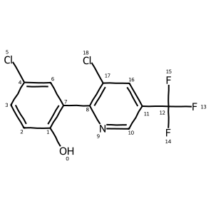 Oc1ccc(Cl)cc1-c1ncc(C(F)(F)F)cc1Cl